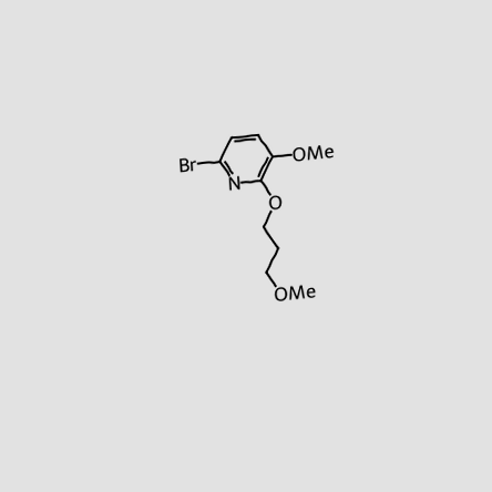 COCCCOc1nc(Br)ccc1OC